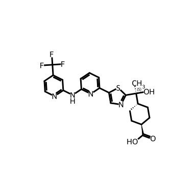 C[C@@](O)(c1ncc(-c2cccc(Nc3cc(C(F)(F)F)ccn3)n2)s1)[C@H]1CC[C@H](C(=O)O)CC1